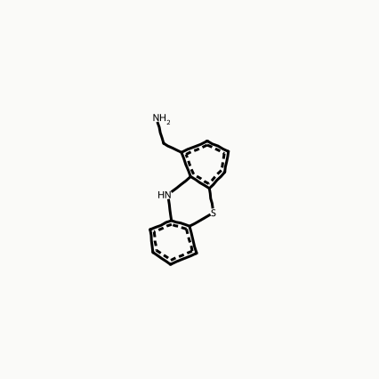 NCc1cccc2c1Nc1ccccc1S2